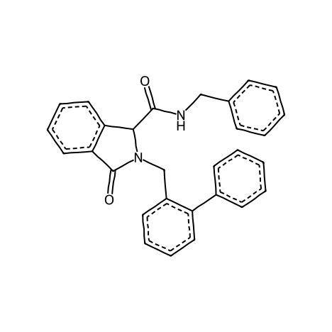 O=C(NCc1ccccc1)C1c2ccccc2C(=O)N1Cc1ccccc1-c1ccccc1